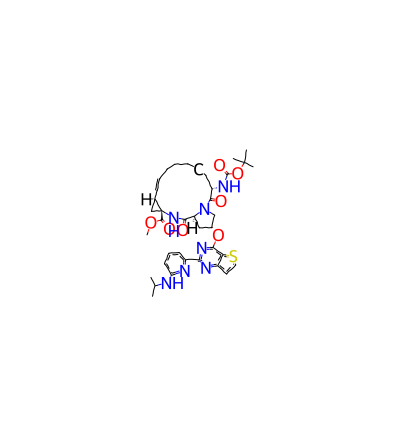 COC(=O)[C@@]12C[C@H]1/C=C\CCCCC[C@H](NC(=O)OC(C)(C)C)C(=O)N1C[C@H](Oc3nc(-c4cccc(NC(C)C)n4)nc4ccsc34)C[C@H]1C(=O)N2